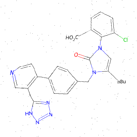 CCCCc1cn(-c2c(Cl)cccc2C(=O)O)c(=O)n1Cc1ccc(-c2ccncc2-c2nnn[nH]2)cc1